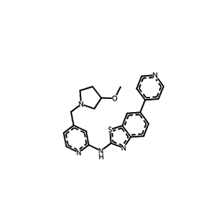 COC1CCN(Cc2ccnc(Nc3nc4ccc(-c5ccncc5)cc4s3)c2)C1